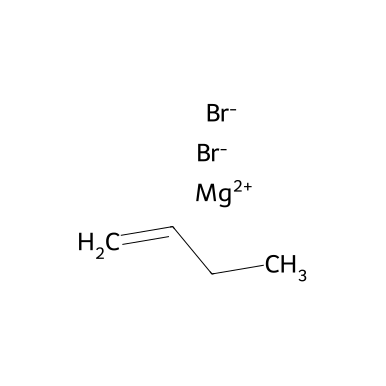 C=CCC.[Br-].[Br-].[Mg+2]